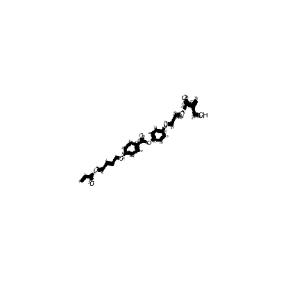 C=CC(=O)OCCCCOc1ccc(C(=O)Oc2ccc(OCCOC(=O)C(=C)CO)cc2)cc1